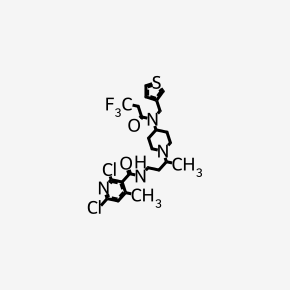 Cc1cc(Cl)nc(Cl)c1C(=O)NCCC(C)N1CCC(N(Cc2ccsc2)C(=O)CC(F)(F)F)CC1